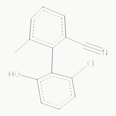 Cc1cccc(C#N)c1-c1c(O)cccc1Cl